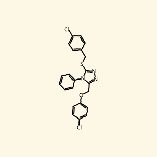 Clc1ccc(CSc2nnc(COc3ccc(Cl)cc3)n2-c2ccccc2)cc1